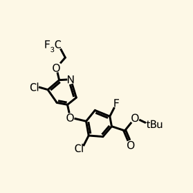 CC(C)(C)OC(=O)c1cc(Cl)c(Oc2cnc(OCC(F)(F)F)c(Cl)c2)cc1F